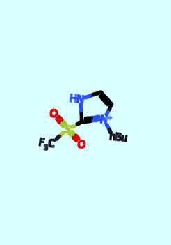 CCCC[n+]1cc[nH]c1S(=O)(=O)C(F)(F)F